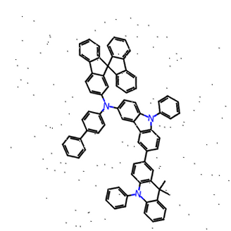 CC1(C)c2ccccc2N(c2ccccc2)c2ccc(-c3ccc4c(c3)c3cc(N(c5ccc(-c6ccccc6)cc5)c5ccc6c(c5)C5(c7ccccc7-c7ccccc75)c5ccccc5-6)ccc3n4-c3ccccc3)cc21